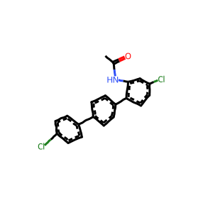 CC(=O)Nc1cc(Cl)ccc1-c1ccc(-c2ccc(Cl)cc2)cc1